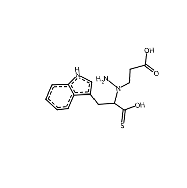 NN(CCC(=O)O)C(Cc1c[nH]c2ccccc12)C(O)=S